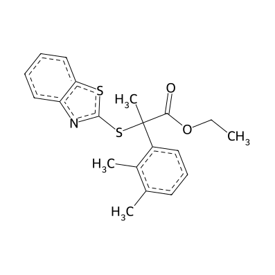 CCOC(=O)C(C)(Sc1nc2ccccc2s1)c1cccc(C)c1C